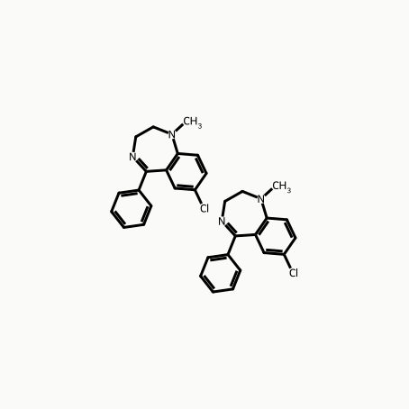 CN1CCN=C(c2ccccc2)c2cc(Cl)ccc21.CN1CCN=C(c2ccccc2)c2cc(Cl)ccc21